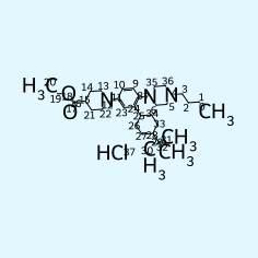 CCCCN1CCN(c2ccc(N3CCC(C(=O)OCC)CC3)cc2C2CCC(C(C)(C)C)CC2)CC1.Cl